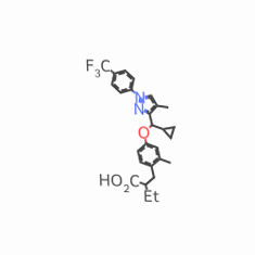 CCC(Cc1ccc(OC(c2nn(-c3ccc(C(F)(F)F)cc3)cc2C)C2CC2)cc1C)C(=O)O